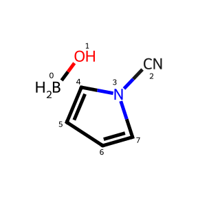 BO.N#Cn1cccc1